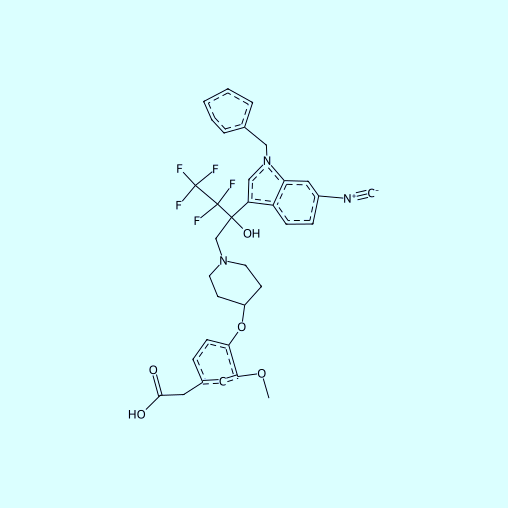 [C-]#[N+]c1ccc2c(C(O)(CN3CCC(Oc4ccc(CC(=O)O)cc4OC)CC3)C(F)(F)C(F)(F)F)cn(Cc3ccccc3)c2c1